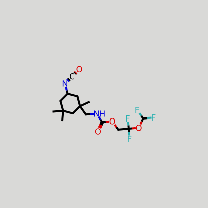 CC1(C)CC(N=C=O)CC(C)(CNC(=O)OCC(F)(F)OC(F)F)C1